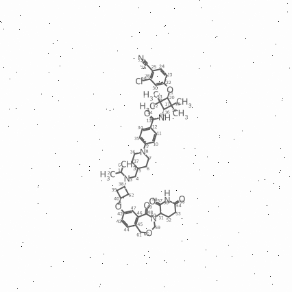 CC(C)N(CC1CCN(c2ccc(C(=O)N[C@H]3C(C)(C)[C@H](Oc4ccc(C#N)c(Cl)c4)C3(C)C)cc2)CC1)[C@H]1C[C@H](Oc2ccc3c(c2)C(=O)N(C2CCC(=O)NC2=O)COC3)C1